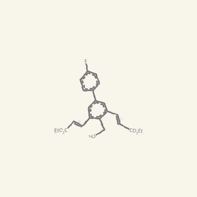 CCOC(=O)/C=C/c1cc(-c2ccc(F)cc2)cc(/C=C/C(=O)OCC)c1CO